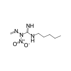 C=NN(C(=N)NCCCCC)[N+](=O)[O-]